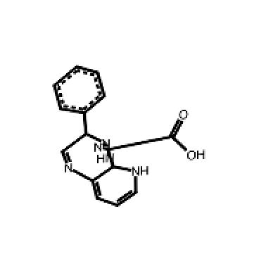 O=C(O)C1=NN2C(c3ccccc3)C=NC3=CC=CNC32N1